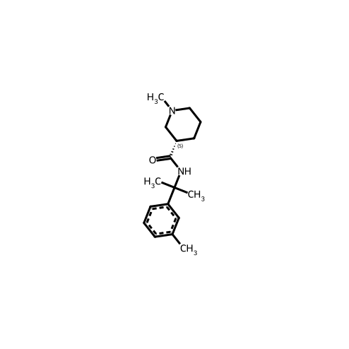 Cc1cccc(C(C)(C)NC(=O)[C@H]2CCCN(C)C2)c1